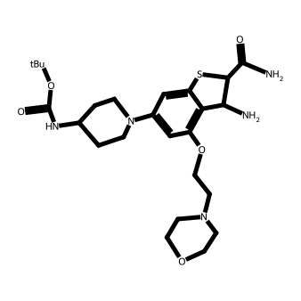 CC(C)(C)OC(=O)NC1CCN(c2cc(OCCN3CCOCC3)c3c(c2)SC(C(N)=O)C3N)CC1